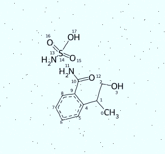 CC(CO)c1ccccc1C(N)=O.NS(=O)(=O)O